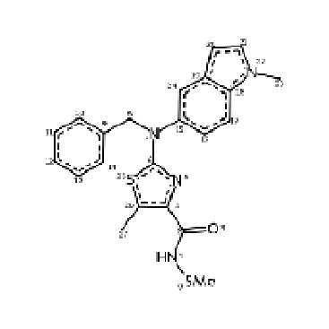 CSNC(=O)c1nc(N(Cc2ccccc2)c2ccc3c(ccn3C)c2)sc1C